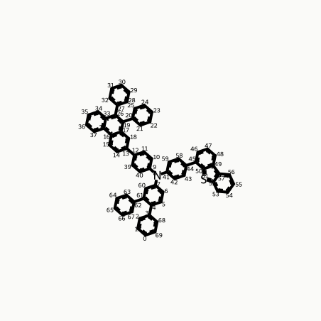 c1ccc(-c2ccc(N(c3ccc(-c4ccc5c(c4)c(-c4ccccc4)c(-c4ccccc4)c4ccccc45)cc3)c3ccc(-c4cccc5c4sc4ccccc45)cc3)cc2-c2ccccc2)cc1